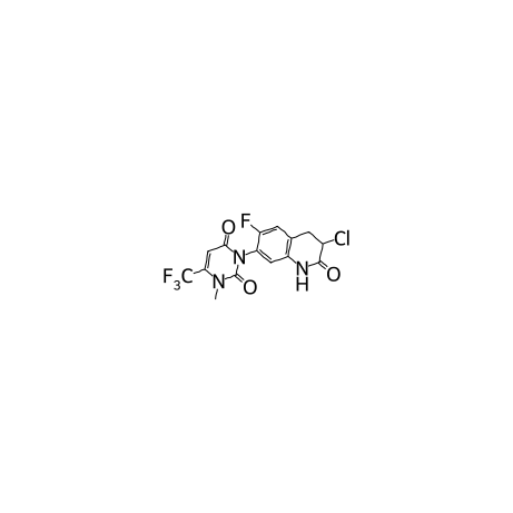 Cn1c(C(F)(F)F)cc(=O)n(-c2cc3c(cc2F)CC(Cl)C(=O)N3)c1=O